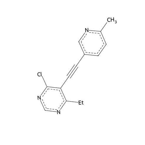 CCc1ncnc(Cl)c1C#Cc1ccc(C)nc1